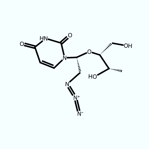 C[C@H](O)[C@@H](CO)O[C@H](CN=[N+]=[N-])n1ccc(=O)[nH]c1=O